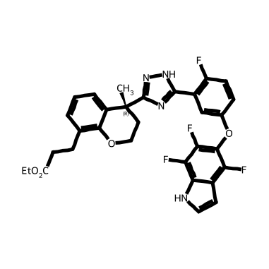 CCOC(=O)CCc1cccc2c1OCC[C@@]2(C)c1n[nH]c(-c2cc(Oc3c(F)c(F)c4[nH]ccc4c3F)ccc2F)n1